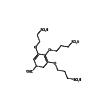 O=CC1C=C(OCCS(=O)(=O)O)C(OCCCS(=O)(=O)O)=C(OCCCS(=O)(=O)O)C1